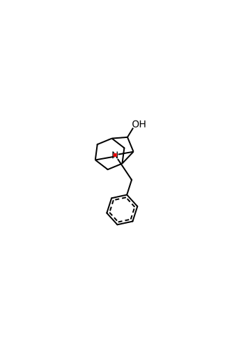 OC1C2CC3CC(C2)C1N(Cc1ccccc1)C3